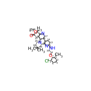 Cc1cccc(Cl)c1OCCNc1ccc(-c2cnc(C)c(CC(=O)OC(C)C)c2N2CCC(C)(C)CC2)cn1